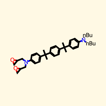 CCCCN(CCCC)c1ccc(C(C)(C)c2ccc(C(C)(C)c3ccc(N(CC4CO4)CC4CO4)cc3)cc2)cc1